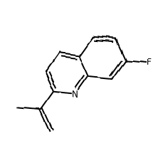 C=C(C)c1ccc2ccc(F)cc2n1